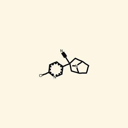 CN1C2CCC1CC(C#N)(c1ccc(Cl)nc1)C2